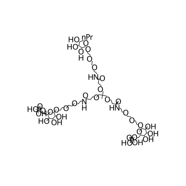 CCCC1OC(OCCOCCOCCNC(=O)CCOCC(C)(COCCC(=O)NCCOCCOCCOC2OC(COP(=O)(O)O)C(O)C(O)C2O)COCCC(=O)NCCOCCOCCOC2OC(COP(=O)(O)O)C(O)C(O)C2O)C(O)C(O)C1O